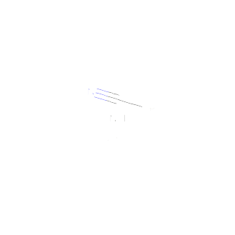 N#[C][Fe].[Co].[NaH]